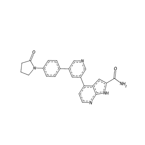 NC(=O)c1cc2c(-c3cncc(-c4ccc(N5CCCC5=O)cc4)c3)ccnc2[nH]1